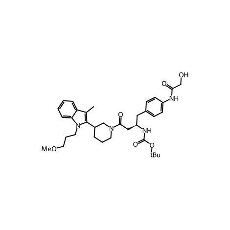 COCCCn1c(C2CCCN(C(=O)C[C@@H](Cc3ccc(NC(=O)CO)cc3)NC(=O)OC(C)(C)C)C2)c(C)c2ccccc21